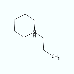 CCC[SiH]1CCCCC1